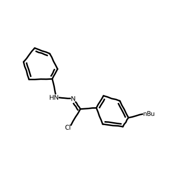 CCCCc1ccc(C(Cl)=NNc2ccccc2)cc1